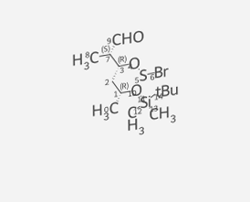 C[C@H](C[C@@H](OSBr)[C@H](C)C=O)O[Si](C)(C)C(C)(C)C